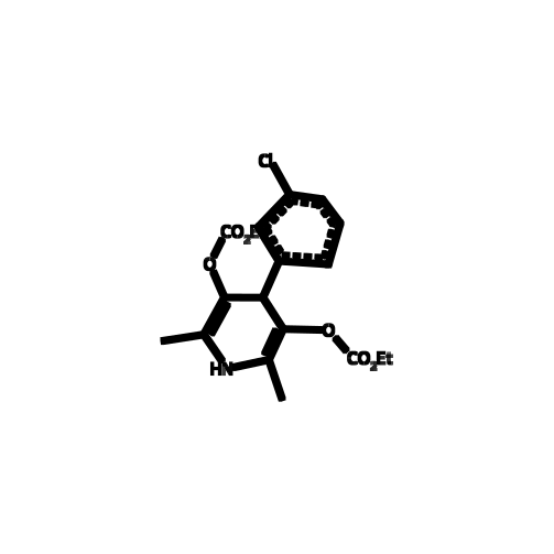 CCOC(=O)OC1=C(C)NC(C)=C(OC(=O)OCC)C1c1cccc(Cl)c1